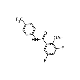 CC(=O)Oc1c(F)cc(F)cc1C(=O)Nc1ccc(C(F)(F)F)cc1